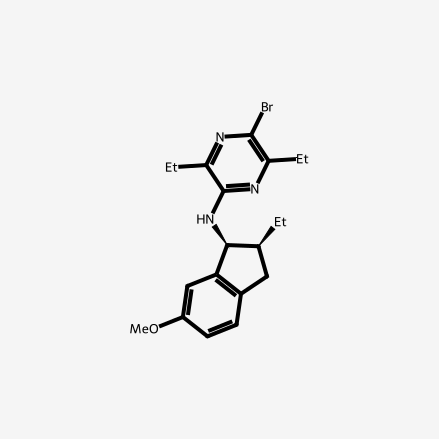 CCc1nc(N[C@@H]2c3cc(OC)ccc3C[C@@H]2CC)c(CC)nc1Br